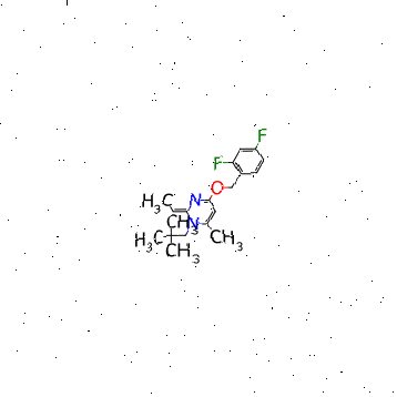 C/C=C1\N=C(OCc2ccc(F)cc2F)C=C(C)N1CC(C)(C)C